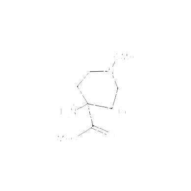 COC(=O)C1(N)CCN(OC)CC1.Cl